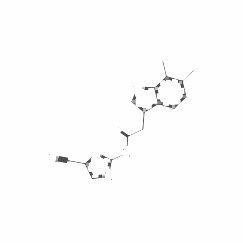 Cc1ccc2c(CC(=O)Nc3ncc(C#N)s3)coc2c1C